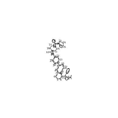 O=C(O)c1cccc2cc(-c3ccc([C@@H]4CC45CCN(C(=O)[C@H]4CCCO4)CC5)cc3)ccc12